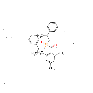 Cc1cc(C)c(C(=O)P(=O)(CC(C)c2ccccc2)CC(C)c2ccccc2)c(C)c1